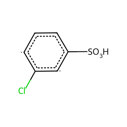 O=S(=O)(O)c1[c]c(Cl)[c]cc1